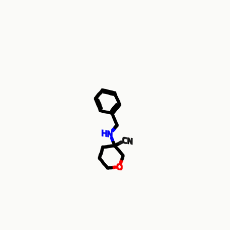 N#CC1(NCc2ccccc2)CCCOC1